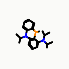 CC(C)N(c1ccccc1P(C)c1ccccc1N(C(C)C)C(C)C)C(C)C